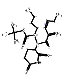 C=C(/C=C\CC)C(=O)N(C1CCC(=O)NC1=O)N(CCCC)C(=O)OC(C)(C)C